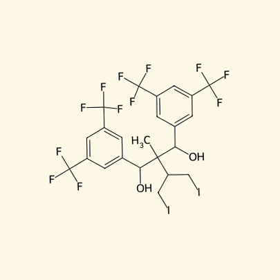 CC(C(CI)CI)(C(O)c1cc(C(F)(F)F)cc(C(F)(F)F)c1)C(O)c1cc(C(F)(F)F)cc(C(F)(F)F)c1